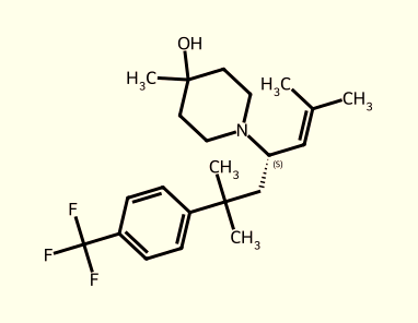 CC(C)=C[C@H](CC(C)(C)c1ccc(C(F)(F)F)cc1)N1CCC(C)(O)CC1